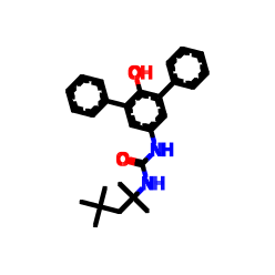 CC(C)(C)CC(C)(C)NC(=O)Nc1cc(-c2ccccc2)c(O)c(-c2ccccc2)c1